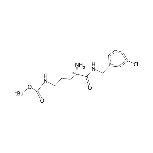 CC(C)(C)OC(=O)NCCC[C@H](N)C(=O)NCc1cccc(Cl)c1